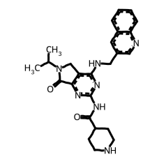 CC(C)N1Cc2c(NCc3cnc4ccccc4c3)nc(NC(=O)C3CCNCC3)nc2C1=O